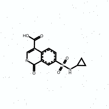 O=C(O)C1=C[N]C(=O)c2cc(S(=O)(=O)NC3CC3)ccc21